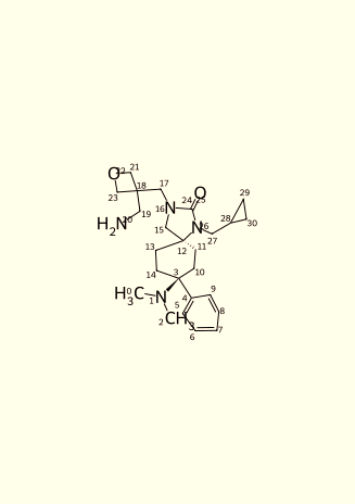 CN(C)[C@]1(c2ccccc2)CC[C@]2(CC1)CN(CC1(CN)COC1)C(=O)N2CC1CC1